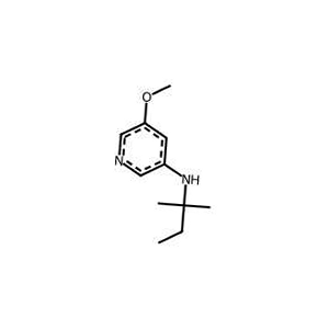 CCC(C)(C)Nc1cncc(OC)c1